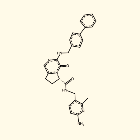 Cc1nc(N)ccc1CNC(=O)[C@@H]1CCc2cnc(NCc3ccc(-c4ccccc4)cc3)c(=O)n21